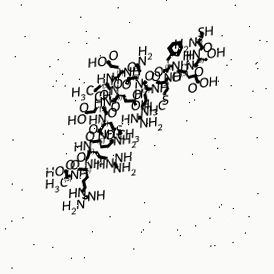 CSCC[C@H](NC(=O)[C@H](CCC(=O)O)NC(=O)[C@H](CCC(=O)O)NC(=O)[C@H](CC(C)C)NC(=O)[C@H](CCC(=O)O)NC(=O)[C@H](CC(N)=O)NC(=O)[C@H](CCCNC(=N)N)NC(=O)[C@H](CCSC)NC(=O)[C@H](Cc1ccccc1)NC(=O)[C@H](CCC(=O)O)NC(=O)[C@H](CO)NC(=O)[C@@H](N)CS)C(=O)N[C@@H](CCC(N)=O)C(=O)N[C@@H](CCCNC(=N)N)C(=O)N[C@@H](CCCNC(=N)N)C(=O)N[C@@H](C)C(=O)O